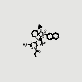 CCC(=O)NCC(=NC(N)=O)N(C(=O)O)N1CCC[C@@H](C2CC2)[C@]1(CCCO)NS(=O)(=O)c1ccc2ccccc2c1